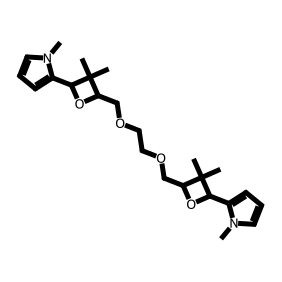 Cn1cccc1C1OC(COCCOCC2OC(c3cccn3C)C2(C)C)C1(C)C